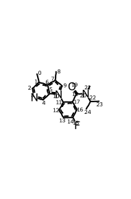 Cc1cncc2c1c(C)cn2-c1ccc(F)cc1C(=O)N(C)C(C)C